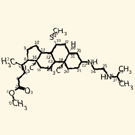 COC(=O)CC[C@@H](C)[C@H]1CCC2C3C(CC[C@@]21C)[C@@]1(C)CCC(NCCNC(C)C)C[C@@H]1C[C@H]3SC